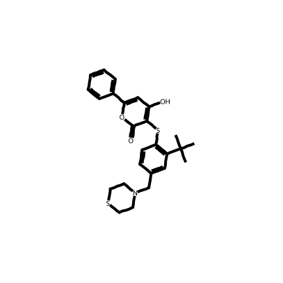 CC(C)(C)c1cc(CN2CCSCC2)ccc1Sc1c(O)cc(-c2ccccc2)oc1=O